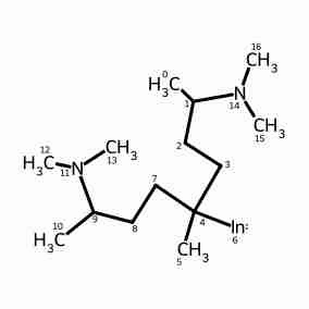 CC(CC[C](C)([In])CCC(C)N(C)C)N(C)C